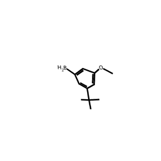 Bc1cc(OC)cc(C(C)(C)C)c1